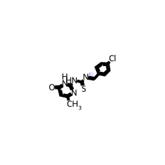 Cc1cc(=O)[nH]c(NC(=S)/N=C/c2ccc(Cl)cc2)n1